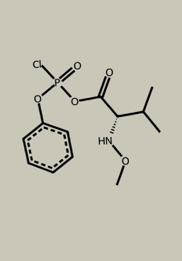 CON[C@H](C(=O)OP(=O)(Cl)Oc1ccccc1)C(C)C